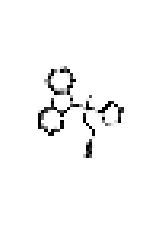 C#CCCC(C)(C1=CC=CC1)C1c2ccccc2-c2ccccc21